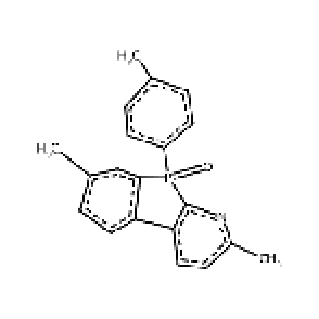 Cc1ccc(P2(=O)c3cc(C)ccc3-c3ccc(C)nc32)cc1